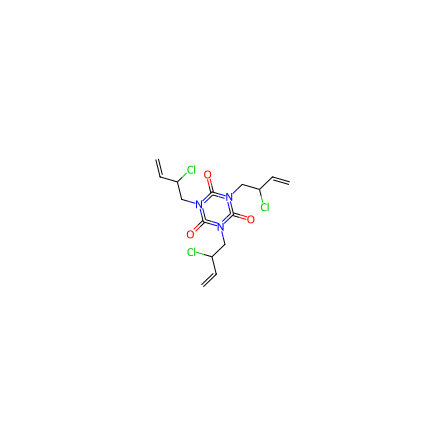 C=CC(Cl)Cn1c(=O)n(CC(Cl)C=C)c(=O)n(CC(Cl)C=C)c1=O